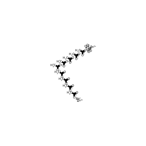 CC(=O)[O-].CC(=O)[O-].CC(=O)[O-].CC(=O)[O-].CC(=O)[O-].CC(=O)[O-].CC(=O)[O-].CC(=O)[O-].CC(=O)[O-].[Na+].[O]=[U+2]=[O].[O]=[U+2]=[O].[Zn+2].[Zn+2]